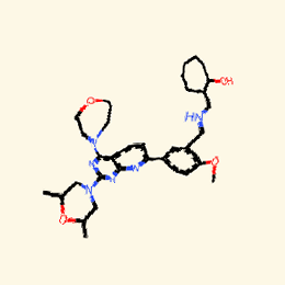 COc1ccc(-c2ccc3c(N4CCOCC4)nc(N4CC(C)OC(C)C4)nc3n2)cc1CNCC1CCCCCC1O